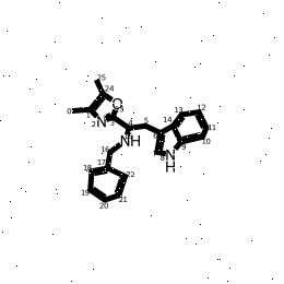 Cc1nc(C(Cc2c[nH]c3ccccc23)NCc2ccccc2)oc1C